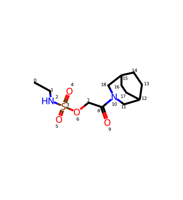 CCNS(=O)(=O)OCC(=O)N1CC2CCC(CC2)C1